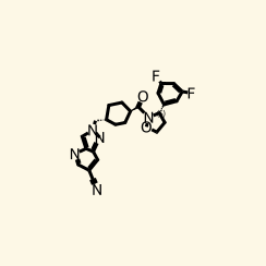 N#Cc1cnc2cn(C[C@H]3CC[C@H](C(=O)N4OCC[C@H]4c4cc(F)cc(F)c4)CC3)nc2c1